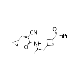 CC(CC1C=C(C(=O)C(C)C)C1)NC(=O)/C(C#N)=C\C1CC1